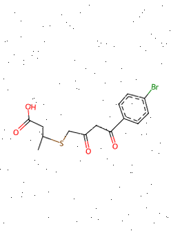 CC(CC(=O)O)SCC(=O)CC(=O)c1ccc(Br)cc1